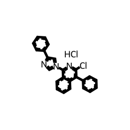 Cl.Clc1nc(-n2cnc(-c3ccccc3)c2)c2ccccc2c1-c1ccccc1